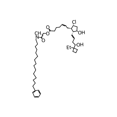 CCC1([C@@H](O)C/C=C/[C@@H]2[C@@H](C/C=C\CCCC(=O)OCC(=O)N(C)CCCCCCCCCCCCCCCc3ccccc3)[C@H](Cl)C[C@H]2O)CCC1